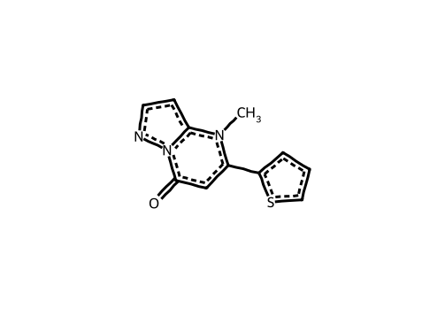 Cn1c(-c2cccs2)cc(=O)n2nccc12